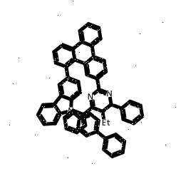 CCC1C(c2ccccc2)=NC(c2ccc3c4ccccc4c4cccc(-c5ccc6c(c5)c5ccccc5n6-c5ccc(-c6ccccc6)cc5)c4c3c2)=NC1c1ccccc1